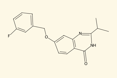 CC(C)c1nc2cc(OCc3cccc(F)c3)ccc2c(=O)[nH]1